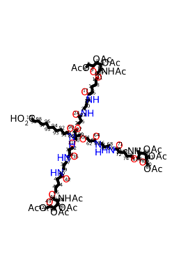 CC(=O)NC1C(OC(C)=O)[C@H](OC(C)=O)C(COC(C)=O)O[C@H]1OCCCCC(=O)NCCCNC(=O)CCOCC(COCCC(=O)NCCCNC(=O)CCCCO[C@@H]1OC(COC(C)=O)[C@@H](OC(C)=O)C(OC(C)=O)C1NC(C)=O)(COCCC(=O)NCCCNC(=O)CCCCO[C@@H]1OC(COC(C)=O)[C@@H](OC(C)=O)C(OC(C)=O)C1NC(C)=O)NC(=O)CCCCCCCCCC(=O)O